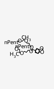 CCCCCOCC(C)OCCCOC(OCCCOC(C)COCCCCC)c1ccc2c(c1)OCO2